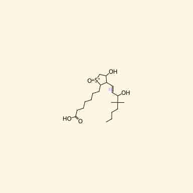 CCCCC(C)(C)C(O)/C=C/C1C(O)C[S+]([O-])C1CCCCCCC(=O)O